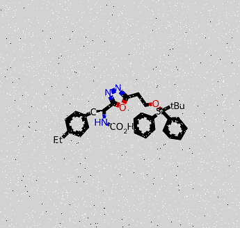 CCc1ccc(C[C@H](NC(=O)O)c2nnc(CCO[Si](c3ccccc3)(c3ccccc3)C(C)(C)C)o2)cc1